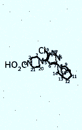 O=C(O)N1CCN(c2cc(N3CC4CCC(C3)O4)nnc2Cl)CC1